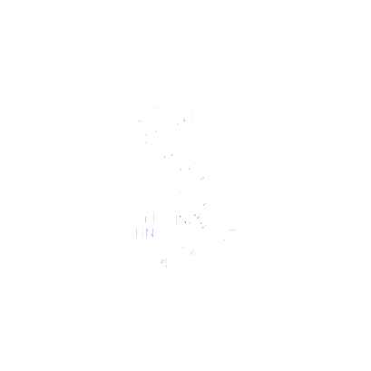 CCCNc1c(N[C@@H](Cc2ccc(OCc3c(Cl)cccc3Cl)cc2)C(=O)O)c(=O)c1=O